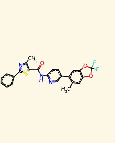 Cc1cc2c(cc1-c1ccc(NC(=O)c3sc(-c4ccccc4)nc3C)nc1)OC(F)(F)O2